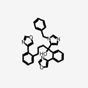 OC(CCCc1ccccc1-c1cocn1)(c1ccccc1-c1cocn1)c1cncn1Cc1ccccc1